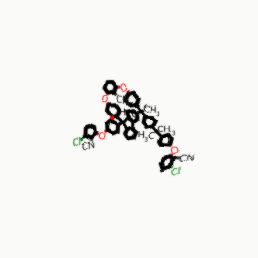 CC(C)(c1ccc(Oc2cccc(Cl)c2C#N)cc1)c1ccc(C(C)(C)c2ccc(Oc3cccc(Oc4ccc(C5(c6ccc(Oc7cccc(Cl)c7C#N)cc6)c6ccccc6-c6ccccc65)cc4)c3C#N)cc2)cc1